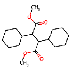 COC(=O)C(C1CCCCC1)C(C(=O)OC)C1CCCCC1